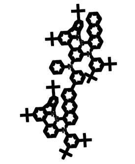 CC(C)(C)c1cc(N2c3cc(N(c4ccccc4)c4cccc(-c5ccc6cc7c8c(ccc7cc6c5)N(c5cc(C(C)(C)C)cc(C(C)(C)C)c5)c5cccc6c5B8n5c7ccc(C(C)(C)C)cc7c7cc(C(C)(C)C)cc-6c75)c4)cc4c3B(c3c2ccc2cc5ccccc5cc32)n2c3ccc(C(C)(C)C)cc3c3cc(C(C)(C)C)cc-4c32)cc(C(C)(C)C)c1